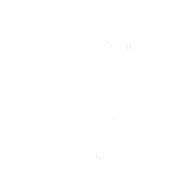 CNC1CC(Oc2cc(F)c(C#N)c(F)c2)C1